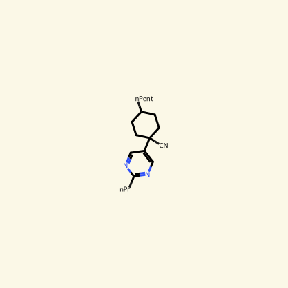 CCCCCC1CCC(C#N)(c2cnc(CCC)nc2)CC1